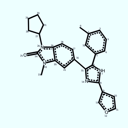 Cc1cccc(-c2[nH]c(-c3ccoc3)nc2-c2ccc3c(c2)n(C)c(=O)n3C2CCCC2)c1